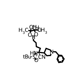 CC(C)(C)[S@@+]([O-])N[C@](C#N)(CCCCB1OC(C)(C)C(C)(C)O1)C1CCN(Cc2ccccc2)CC1